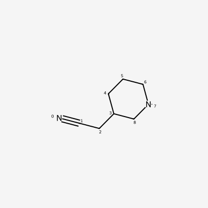 N#CCC1CCC[N]C1